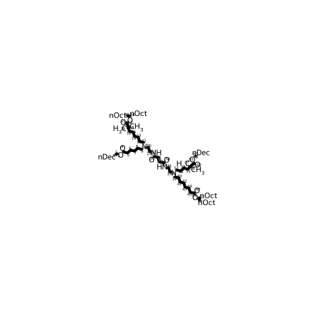 CCCCCCCCCCCOC(=O)CCCCCN(CCCCCCC(C)(C)C(=O)OC(CCCCCCCC)CCCCCCCC)CCNC(=O)/C=C/C(=O)NCCN(CCCCCCCC(=O)OC(CCCCCCCC)CCCCCCCC)CCCCC(C)(C)C(=O)OCCCCCCCCCCC